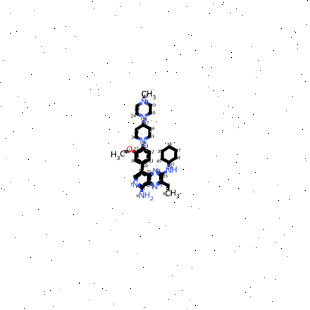 CCc1nc2c(N)ncc(-c3ccc(N4CCC(N5CCN(C)CC5)CC4)c(OC)c3)c2nc1NC1CCCCC1